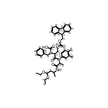 CCOC(CC(C)NC(=O)C(C)N(C(=O)C(CNC(=O)OCC1c2ccccc2-c2ccccc21)N(Cc1ccccc1)C(=O)O)c1ccc(F)c(F)c1)OCC